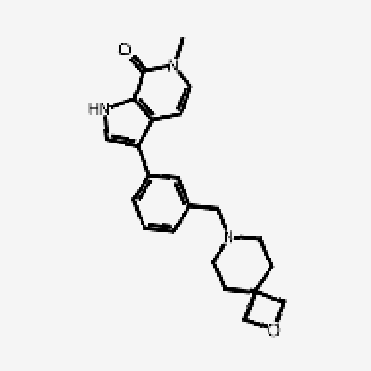 Cn1ccc2c(-c3cccc(CN4CCC5(CC4)COC5)c3)c[nH]c2c1=O